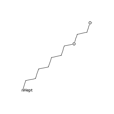 CCCCCCCCCCCCCCOCC[O]